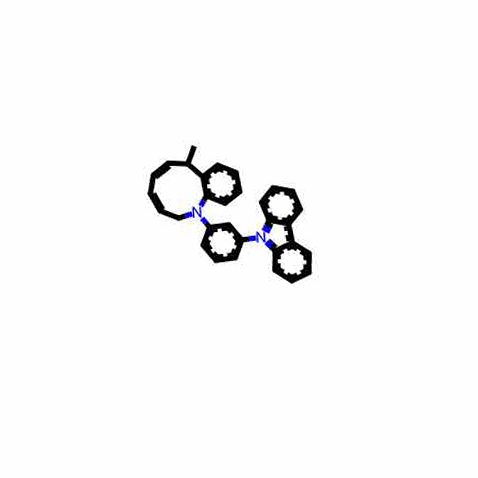 CC1/C=C\C=C/CN(c2cccc(-n3c4ccccc4c4ccccc43)c2)c2ccccc21